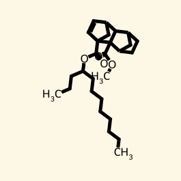 CCCCCCCCC(CCC)OC(=O)C12C=CC(C1)C1C3CCC(C3)C12C(=O)OC